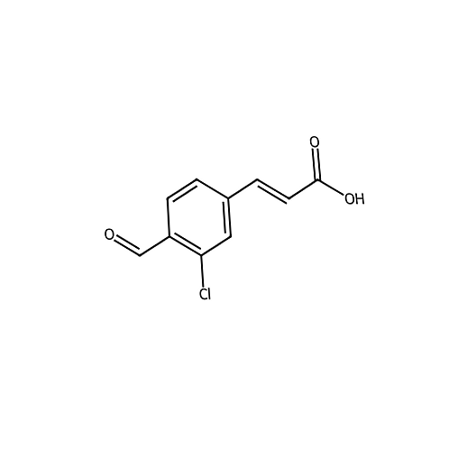 O=Cc1ccc(/C=C/C(=O)O)cc1Cl